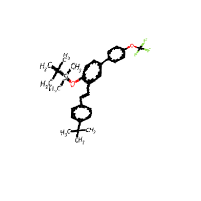 CC(C)(C)c1ccc(C=Cc2cc(-c3ccc(OC(F)(F)F)cc3)ccc2O[Si](C)(C)C(C)(C)C)cc1